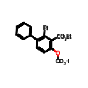 CCOC(=O)c1c(OC(=O)O)ccc(-c2ccccc2)c1CC